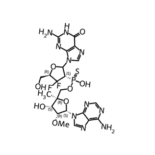 CO[C@H]1[C@@H](n2cnc3c(N)ncnc32)O[C@](C)(COP(O)(=S)[C@H]2C(n3cnc4c(=O)[nH]c(N)nc43)O[C@H](CO)C2(F)F)[C@H]1O